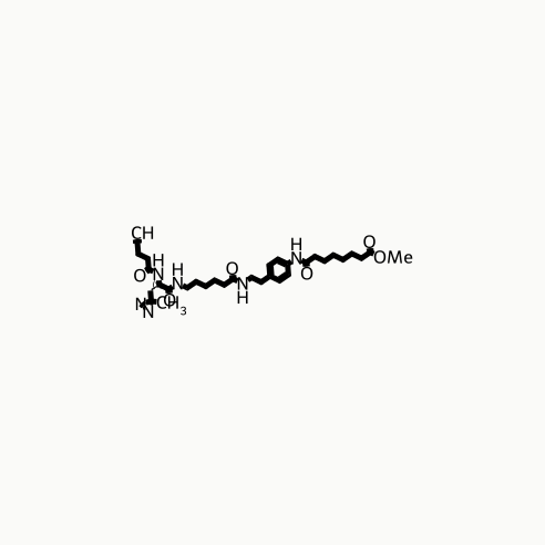 C#CCCC(=O)N[C@@H](CC1(C)N=N1)C(=O)NCCCCCC(=O)NCCc1ccc(NC(=O)CCCCCCC(=O)OC)cc1